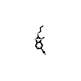 CCCOc1nc2ccc(C#N)cc2n1C